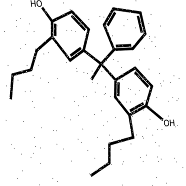 CCCCc1cc(C(C)(c2ccccc2)c2ccc(O)c(CCCC)c2)ccc1O